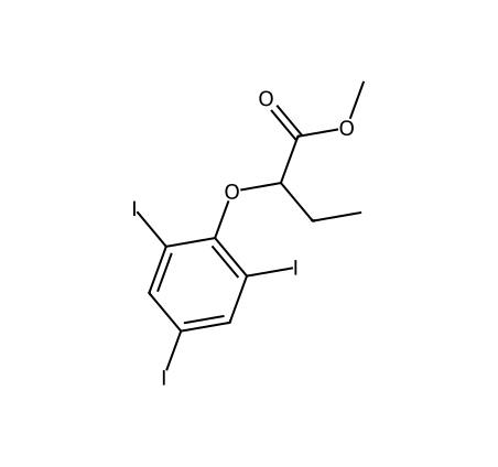 CCC(Oc1c(I)cc(I)cc1I)C(=O)OC